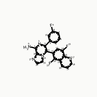 Nc1nc(-c2cccc(F)c2)c(-c2cc(F)c3ncccc3c2F)n2ccnc12